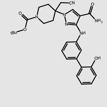 CC(C)(C)OC(=O)N1CCC(CC#N)(n2cc(C(N)=O)c(Nc3cccc(-c4ccccc4O)c3)n2)CC1